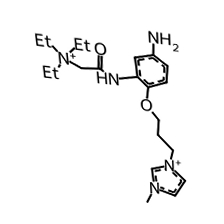 CC[N+](CC)(CC)CC(=O)Nc1cc(N)ccc1OCCC[n+]1ccn(C)c1